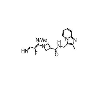 CN/C(=C(/F)C=N)N1CC(C(=O)NCc2c(C)nc3ccccn23)C1